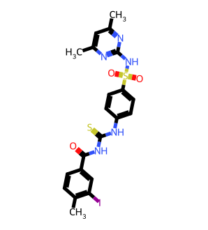 Cc1cc(C)nc(NS(=O)(=O)c2ccc(NC(=S)NC(=O)c3ccc(C)c(I)c3)cc2)n1